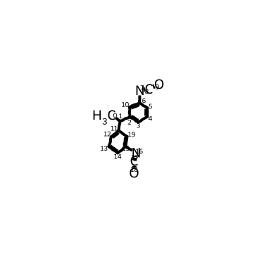 CC(c1cccc(N=C=O)c1)c1cccc(N=C=O)c1